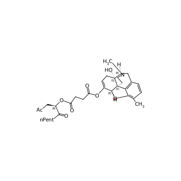 CCCCCC(=O)[C@@H](CC(C)=O)OC(=O)CCC(=O)OC1=CC[C@@]2(O)[C@H]3Cc4ccc(C)c5c4[C@@]2(CCN3C)[C@H]1O5